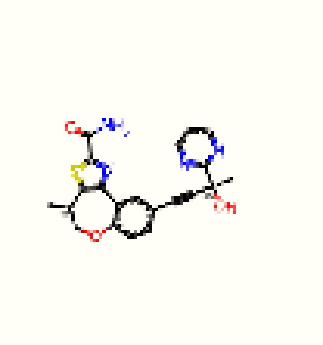 C[C@@H]1COc2ccc(C#C[C@@](C)(O)c3ncccn3)cc2-c2nc(C(N)=O)sc21